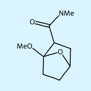 CNC(=O)C1CC2CCC1(OC)O2